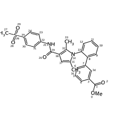 COC(=O)c1cccc(-c2ccccc2-n2c(C)cc(C(=O)Nc3ccc(S(C)(=O)=O)cc3)c2C)c1